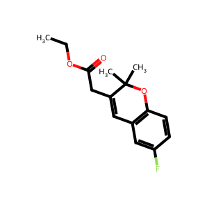 CCOC(=O)CC1=Cc2cc(F)ccc2OC1(C)C